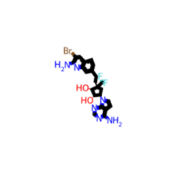 Nc1nc2cc(CC[C@@]3(C(F)F)C[C@@H](n4ccc5c(N)ncnc54)[C@H](O)[C@@H]3O)ccc2cc1Br